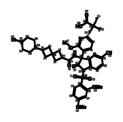 CCOc1ncccc1C1(NC(=O)C2CC3(C2)CC(N2CCN(CC)CC2)C3)C(=O)N(S(=O)(=O)c2ccc(OC)cc2OC)c2ccc(C#N)cc21.O=C(O)C(F)(F)F